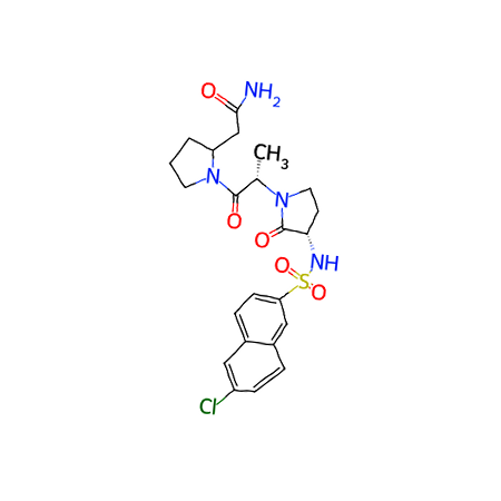 C[C@@H](C(=O)N1CCCC1CC(N)=O)N1CC[C@H](NS(=O)(=O)c2ccc3cc(Cl)ccc3c2)C1=O